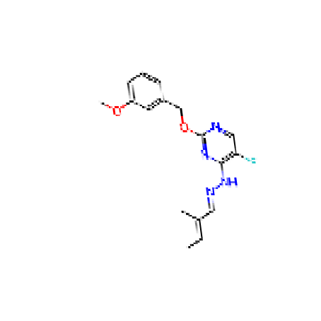 C/C=C(C)/C=N/Nc1nc(OCc2cccc(OC)c2)ncc1F